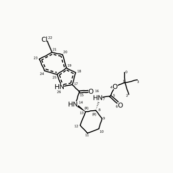 CC(C)(C)OC(=O)N[C@@H]1CCCC[C@H]1NC(=O)c1cc2cc(Cl)ccc2[nH]1